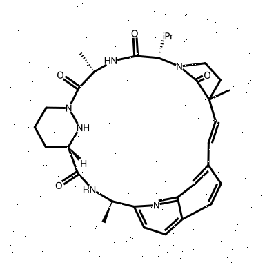 CC(C)[C@H]1C(=O)N[C@@H](C)C(=O)N2CCC[C@H](N2)C(=O)N[C@H](C)c2ccc3ccc(cc3n2)/C=C/C2(C)CCN1C2=O